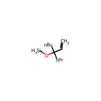 C=CC(CCC)(CCCC)O[SiH3]